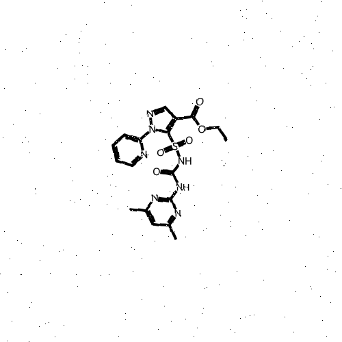 CCOC(=O)c1cnn(-c2ccccn2)c1S(=O)(=O)NC(=O)Nc1nc(C)cc(C)n1